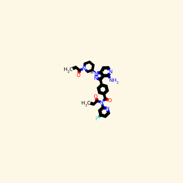 C=CC(=O)N1CCC[C@@H](n2nc(-c3ccc(C(=O)N(C(=O)C=C)c4cc(F)ccn4)cc3)c3c(N)nccc32)C1